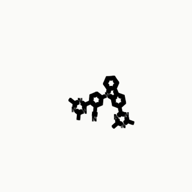 Cc1nc(C)nc(-c2ccc3c4ccccc4n(-c4ccc(-c5nc(C)nc(C)n5)c(C#N)c4)c3c2)n1